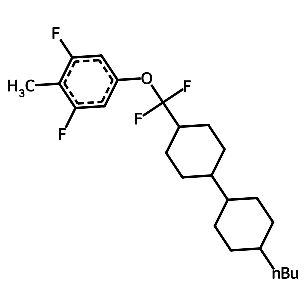 CCCCC1CCC(C2CCC(C(F)(F)Oc3cc(F)c(C)c(F)c3)CC2)CC1